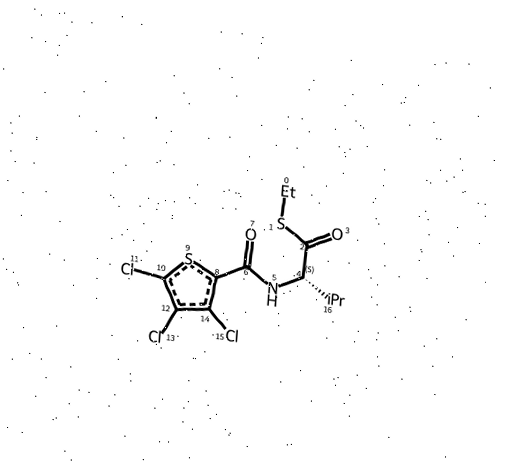 CCSC(=O)[C@@H](NC(=O)c1sc(Cl)c(Cl)c1Cl)C(C)C